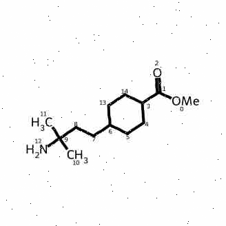 COC(=O)C1CCC(CCC(C)(C)N)CC1